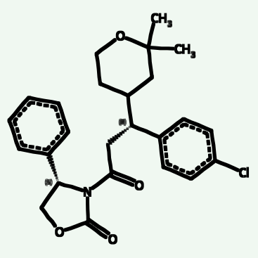 CC1(C)CC([C@@H](CC(=O)N2C(=O)OC[C@@H]2c2ccccc2)c2ccc(Cl)cc2)CCO1